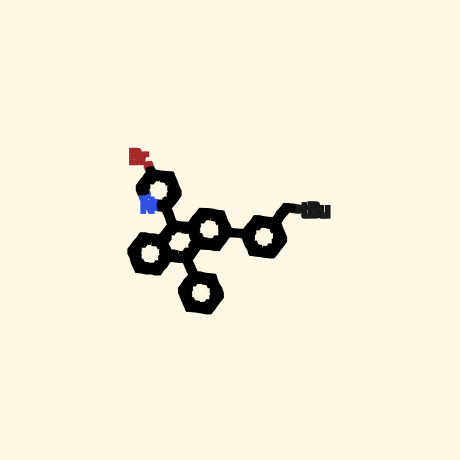 CC(C)(C)Cc1cccc(-c2ccc3c(-c4ccc(Br)cn4)c4ccccc4c(-c4ccccc4)c3c2)c1